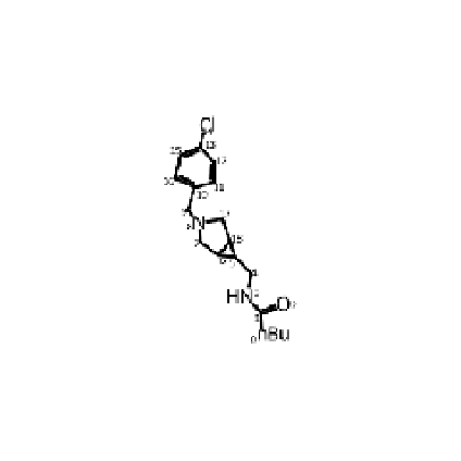 CCCCC(=O)NCC1C2CN(Cc3ccc(Cl)cc3)CC12